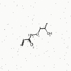 C=CC(=O)NOCC(C)O